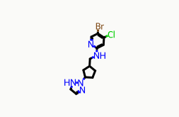 Clc1cc(NCC2CCC(N3N=CCN3)C2)ncc1Br